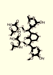 COc1nc(C(SC[C@H](NC(C)=O)C(=O)O)C2CCCC(C(SC[C@H](NC(C)=O)C(=O)O)c3cc(O)nc(C)n3)C2=O)ncc1O